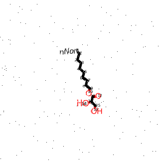 CCCCCCCCCCCCCCCCCCOC(=O)C(O)CO